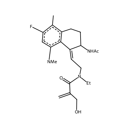 C=C(CO)C(=O)N(CC)C/C=C1/c2c(NC)cc(F)c(C)c2CCC1NC(C)=O